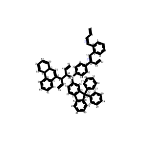 C=C/C=C\c1ccccc1/C=C(\C=C)c1ccc(N(c2ccc3c(c2)C(c2ccccc2)(c2ccccc2)c2ccccc2-3)C(C=C)C(C=C)C2=CC3C=CC=CC3c3ccccc32)cc1